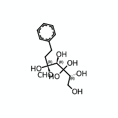 O=C[C@@](O)(CCc1ccccc1)[C@@H](O)C(O)(O)[C@H](O)CO